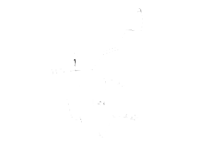 [2H]CC/C=C/[C@H](C(=O)N[CH]([RaH])C(C)=O)[C@@](O)(CCO)C(C)=O